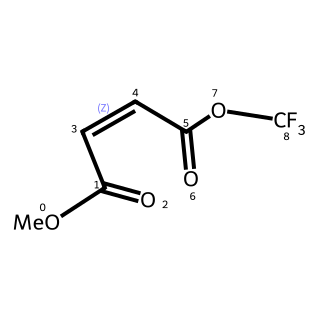 COC(=O)/C=C\C(=O)OC(F)(F)F